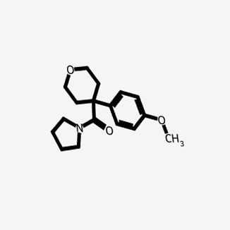 COc1ccc(C2(C(=O)N3CCCC3)CCOCC2)cc1